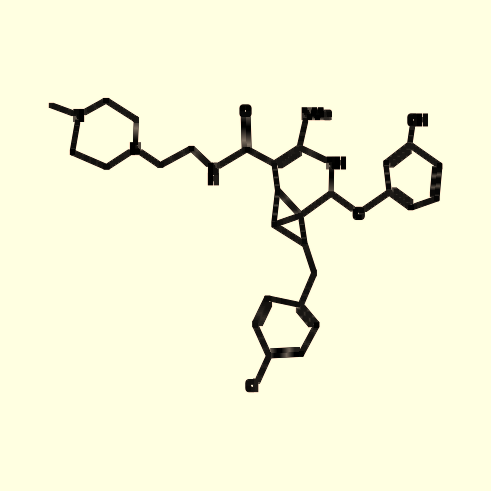 CNC1=C(C(=O)NCCN2CCN(C)CC2)C2C3C(Cc4ccc(Cl)cc4)C23C(Oc2cccc(O)c2)N1